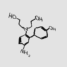 Nc1ccc(N(CCO)CCO)c(-c2ccc(O)cc2)c1